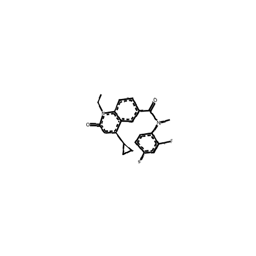 CCn1c(=O)cc(C2CC2)c2cc(C(=O)N(C)c3ccc(F)cc3F)ccc21